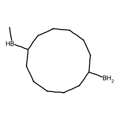 BC1CCCCCC(BC)CCCCC1